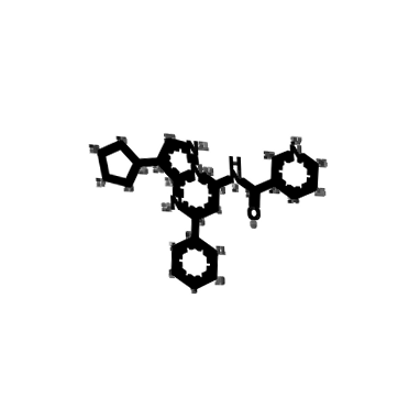 O=C(Nc1cc(-c2ccccc2)nc2c(C3CCCC3)cnn12)c1cccnc1